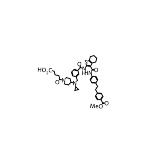 COC(=O)c1ccc(CCc2ccc(NC(=O)c3c(NC(=O)c4cccc(CN(C5CC5)C5CCN(C(=O)CCCC(=O)O)CC5)c4)sc4c3CCCC4)cc2)cc1